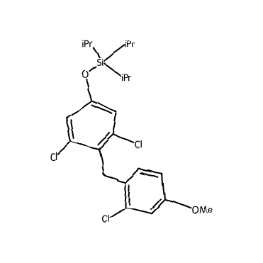 COc1ccc(Cc2c(Cl)cc(O[Si](C(C)C)(C(C)C)C(C)C)cc2Cl)c(Cl)c1